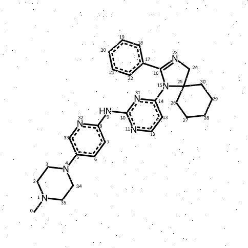 CN1CCN(c2ccc(Nc3nccc(N4C(c5ccccc5)=NCC45CCCCC5)n3)nc2)CC1